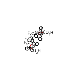 O=C(O)C1CCCN(c2ccccc2-c2cc(Sc3cc(-c4ccccc4N4CCCC(C(=O)O)C4)c(/C=C/C(=O)N4CC=CCC4)c(C(F)(F)F)c3C(F)(F)F)c(C(F)(F)F)c(C(F)(F)F)c2/C=C/C(=O)N2CC=CCC2)C1